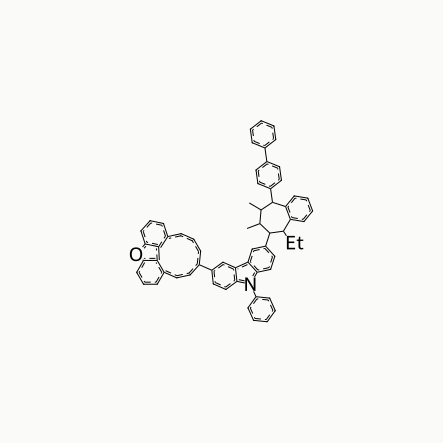 CCC1c2ccccc2C(c2ccc(-c3ccccc3)cc2)C(C)C(C)C1c1ccc2c(c1)c1cc(-c3cccc4cccc5oc6cccc(cc3)c6c45)ccc1n2-c1ccccc1